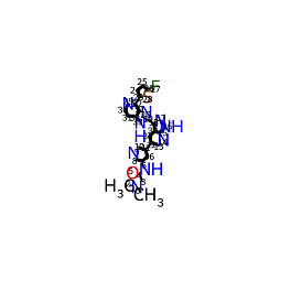 CN(C)CC(=O)Nc1cncc(-c2cnc3[nH]nc(-c4nc5c(-c6ccc(F)s6)nccc5[nH]4)c3c2)c1